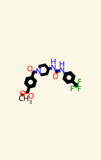 COC(=O)c1ccc(C(=O)N2CCC(NC(=O)Nc3ccc(C(F)(F)F)cc3)CC2)cc1